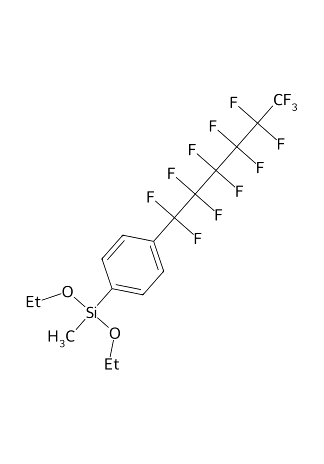 CCO[Si](C)(OCC)c1ccc(C(F)(F)C(F)(F)C(F)(F)C(F)(F)C(F)(F)C(F)(F)F)cc1